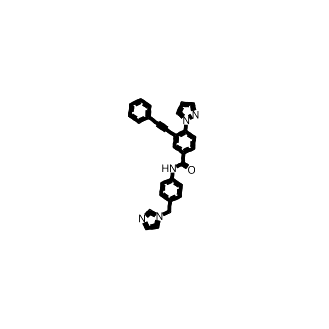 O=C(Nc1ccc(Cn2ccnc2)cc1)c1ccc(-n2cccn2)c(C#Cc2ccccc2)c1